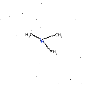 CCCCCCCCCCCCCCC1N(CCCCCCCCCC)C=CN1CCCCCCCCCCCCC